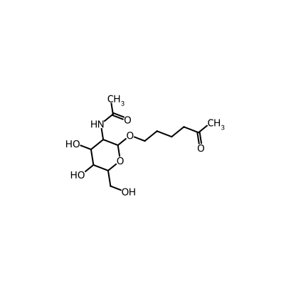 CC(=O)CCCCOC1OC(CO)C(O)C(O)C1NC(C)=O